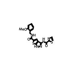 COc1ccccc1CNC(=O)c1cc2c(NC(=O)c3nccs3)n[nH]c2s1